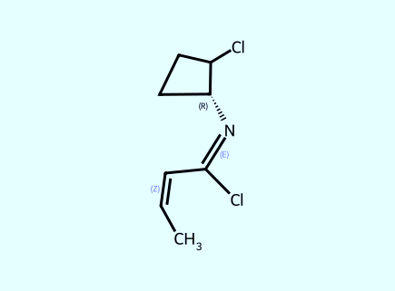 C/C=C\C(Cl)=N/[C@@H]1CCC1Cl